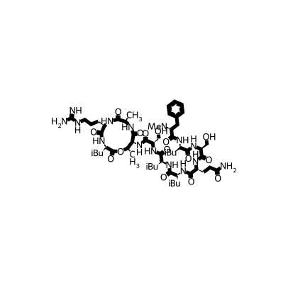 CC[C@H](C)[C@H](NC(=O)[C@@H](Cc1ccccc1)NC)C(=O)N[C@@H](CO)C(=O)N[C@H](CCC(N)=O)C(=O)N[C@@H](C(=O)N[C@H](C(=O)N[C@@H](CO)C(=O)N[C@H]1C(=O)N[C@@H](C)C(=O)N[C@@H](CCCNC(=N)N)C(=O)N[C@@H]([C@@H](C)CC)C(=O)O[C@H]1C)[C@@H](C)CC)[C@@H](C)CC